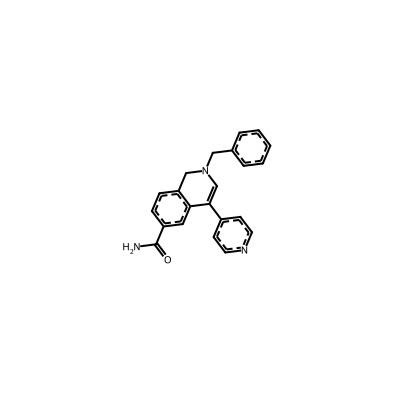 NC(=O)c1ccc2c(c1)C(c1ccncc1)=CN(Cc1ccccc1)C2